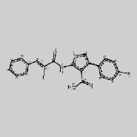 O=C(Nc1scc(-c2ccc(Br)cc2)c1C(=O)O)/C(F)=C/c1ccccc1